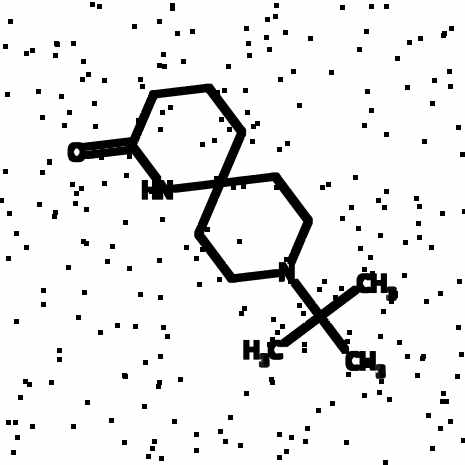 CC(C)(C)N1CCC2(CCCC(=O)N2)CC1